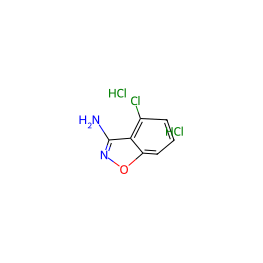 Cl.Cl.Nc1noc2cccc(Cl)c12